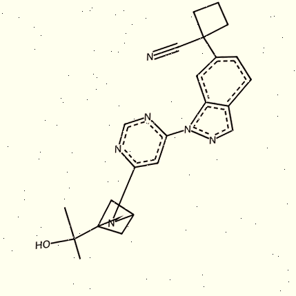 CC(C)(O)C12CC(C1)N(c1cc(-n3ncc4ccc(C5(C#N)CCC5)cc43)ncn1)C2